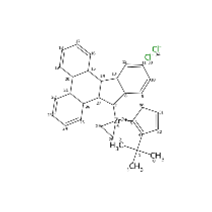 CC(C)(C)C1=[C]([Zr+2]2([CH]3C4C=CC=CC4C4C5C=CC=CC5C5C=CC=CC5C43)[CH2][CH2]2)CC=C1.[Cl-].[Cl-]